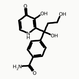 NC(=O)c1ccc(C(O)(CCO)c2[nH]ccc(=O)c2O)cc1